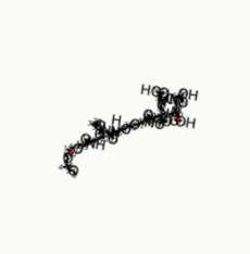 COCC(C)(C)COCC(C)(C)COCCC(=O)NCCCC[C@H](NC(=O)OC(C)(C)C)C(=O)NCCOCCOCCNC(=O)CCC(C(=O)O)N1CCN(CC(=O)O)CCN(CC(=O)O)CCN(CC(=O)O)CC1